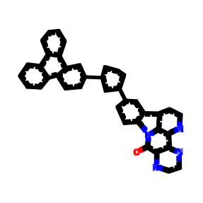 O=c1c2nccnc2c2nccc3c4cc(-c5cccc(-c6ccc7c8ccccc8c8ccccc8c7c6)c5)ccc4n1c32